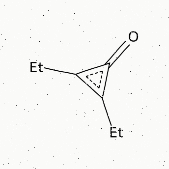 CCc1c(CC)c1=O